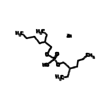 CCCCC(CC)COP(=O)(O)OCC(CC)CCCC.[Zn]